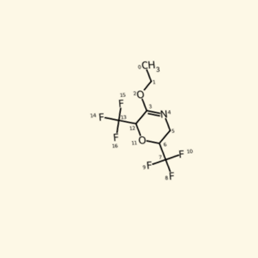 CCOC1=NCC(C(F)(F)F)OC1C(F)(F)F